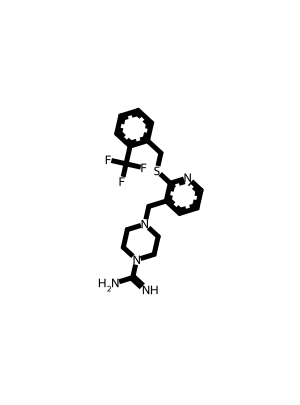 N=C(N)N1CCN(Cc2cccnc2SCc2ccccc2C(F)(F)F)CC1